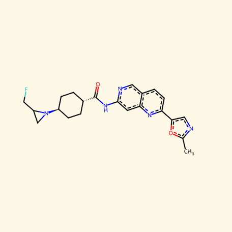 Cc1ncc(-c2ccc3cnc(NC(=O)[C@H]4CC[C@H](N5CC5CF)CC4)cc3n2)o1